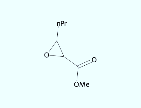 CCCC1OC1C(=O)OC